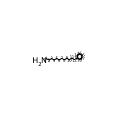 N[CH]CCCCCCCCCCCc1ccccc1